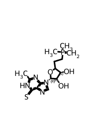 C=P(C)(C)CCC1O[C@@H](n2cnc3c(=S)[nH]c(C)nc32)[C@H](O)[C@@H]1O